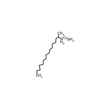 CCCCCCCCCCCCCCC(C)[SiH2]O[SiH3]